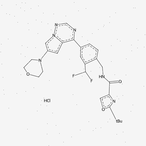 CC(C)(C)c1nc(C(=O)NCc2ccc(-c3ncnn4cc(N5CCOCC5)cc34)cc2C(F)F)co1.Cl